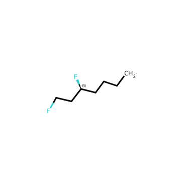 [CH2]CCC[C@H](F)CCF